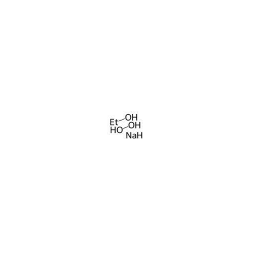 CCO.OO.[NaH]